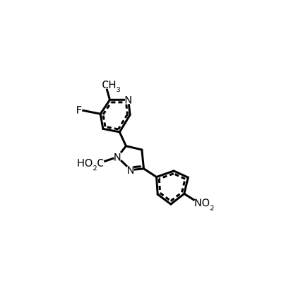 Cc1ncc(C2CC(c3ccc([N+](=O)[O-])cc3)=NN2C(=O)O)cc1F